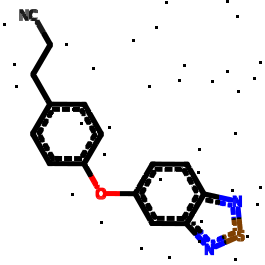 N#CCCc1ccc(Oc2ccc3nsnc3c2)cc1